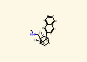 CNC[C@H]1C2CCC(CC2)[C@@H]1c1ccc2ccccc2c1